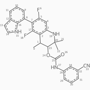 CC1c2c(cc(F)c(-c3cccc4cc[nH]c34)c2F)NC(C)(C)C1OC(=O)Nc1cccc(C#N)c1